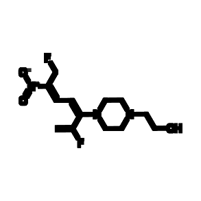 C=C(F)/C(=C\C=C(/CF)[N+](=O)[O-])N1CCN(CCO)CC1